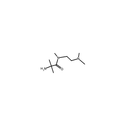 CN(C)CCN(C)C(=O)C(C)(C)N